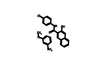 COc1cccc(N)c1.O=C(Nc1ccc(Cl)cc1)c1cc2ccccc2cc1O